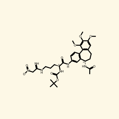 COc1cc2c(c(OC)c1OC)-c1ccc(NC(=O)[C@H](CCCNC(=N)C[N+](=O)[O-])NC(=O)OC(C)(C)C)cc1[C@@H](NC(C)=O)CC2